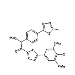 COc1cc(-c2ccc(C(=O)C(OC)c3ccc(-c4nnc(C)s4)cc3)o2)cc(OC)c1Cl